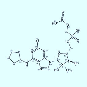 C[C@@]1(O)[C@H](O)[C@@H](COP(=O)(O)CO[PH](=O)O)O[C@H]1n1cnc2c(NC3CCCC3)nc(Cl)nc21